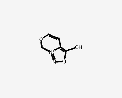 Oc1on[n+]2c1C=COC2